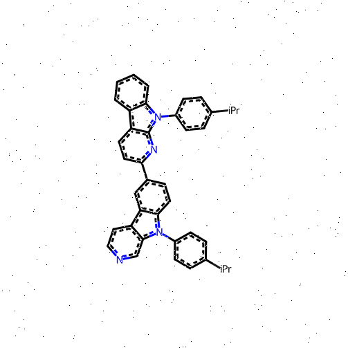 CC(C)c1ccc(-n2c3ccc(-c4ccc5c6ccccc6n(-c6ccc(C(C)C)cc6)c5n4)cc3c3ccncc32)cc1